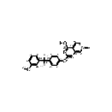 C=N/C=c1/nc(Oc2ccc(C(F)(F)c3cccc(OC)c3)cc2)nc(O)/c1=C/C